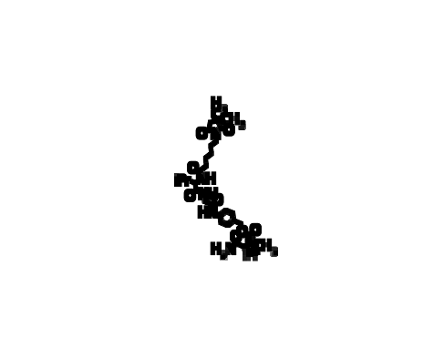 CC(C)C(NC(=O)CCCCCN1C(=O)CC(C)(C)C1=O)C(=O)NCC(=O)Nc1ccc(COC(=O)N(C)[C@H](C(N)=O)C(C)C)cc1